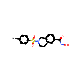 CC(C)c1ccc(S(=O)(=O)N2CCc3cc(C(=O)NO)ccc3C2)cc1